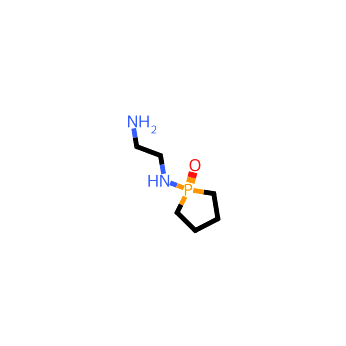 NCCNP1(=O)CCCC1